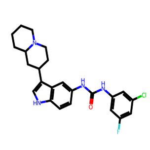 O=C(Nc1cc(F)cc(Cl)c1)Nc1ccc2[nH]cc(C3CCN4CCCCC4C3)c2c1